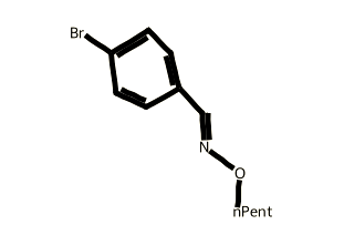 CCCCCO/N=[C]/c1ccc(Br)cc1